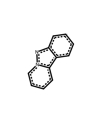 [c]1ccc2c(c1)nn1ccccc21